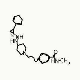 CNC(=O)c1ccc(OCCN2CCC(NN[C@@H]3CC3C3=CCCC=C3)CC2)cc1